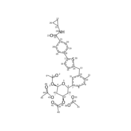 CC(=O)O[C@H]1OC(c2ccc(C)c(Cc3ccc(-c4ccc(C(=O)NC5CC5)cc4)s3)c2)[C@H](OC(C)=O)[C@@H](OC(C)=O)[C@@H]1OC(C)=O